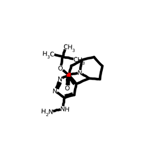 CC(C)(C)OC(=O)N1C2CCCC1c1cc(NN)nnc1C2